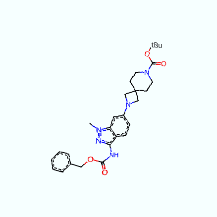 Cn1nc(NC(=O)OCc2ccccc2)c2ccc(N3CC4(CCN(C(=O)OC(C)(C)C)CC4)C3)cc21